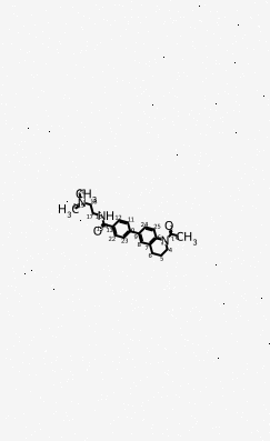 CC(=O)N1CCCc2cc(-c3ccc(C(=O)NCCN(C)C)cc3)ccc21